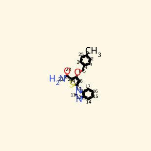 Cc1ccc(COc2cc(-n3cnc4ccccc43)sc2C(N)=O)cc1